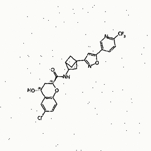 O=C(NC1CC2(c3cc(-c4ccc(C(F)(F)F)nc4)on3)CC1C2)[C@@H]1C[C@@H](O)c2cc(Cl)ccc2O1